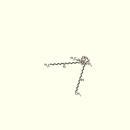 CCCCCCCCNCCCCCCCC[Si](OCC)(OCC)O[Si](CCCCCCCCNCCCCCCCC)(OCC)OCC